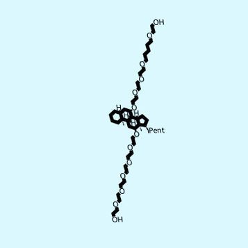 CCCC(C)[C@H]1CC[C@H]2[C@@H]3[C@H](OCCOCCOCCOCCCCCOCCO)C[C@@H]4CCCC[C@]4(C)[C@H]3C[C@H](OCCOCCOCCOCCOCCOCCO)[C@]12C